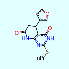 CCCSc1nc2c(c(=O)[nH]1)C(c1ccoc1)CC(=O)N2